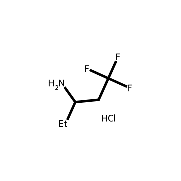 CCC(N)CC(F)(F)F.Cl